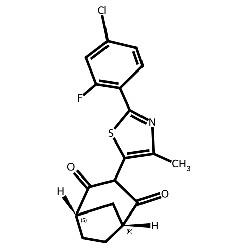 Cc1nc(-c2ccc(Cl)cc2F)sc1C1C(=O)[C@@H]2CC[C@@H](C2)C1=O